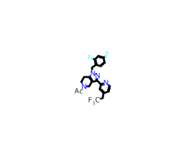 CC(=O)N1CCc2c(c(-c3cc(CC(F)(F)F)ccn3)nn2Cc2ccc(F)cc2F)C1